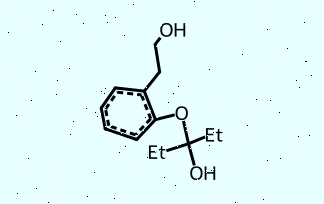 CCC(O)(CC)Oc1ccccc1CCO